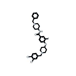 O=C(NC1CCN(Cc2ccccc2)CC1)c1ccc(OC2CCN(Cc3ccc(Cl)c(Cl)c3)CC2)c(F)c1